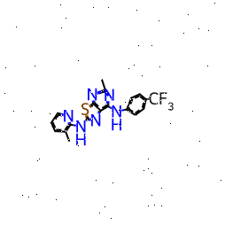 Cc1nc(Nc2ccc(C(F)(F)F)cc2)c2nc(Nc3ncccc3C)sc2n1